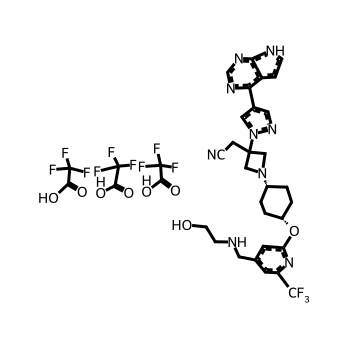 N#CCC1(n2cc(-c3ncnc4[nH]ccc34)cn2)CN([C@H]2CC[C@@H](Oc3cc(CNCCO)cc(C(F)(F)F)n3)CC2)C1.O=C(O)C(F)(F)F.O=C(O)C(F)(F)F.O=C(O)C(F)(F)F